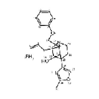 B.C=CCC1(COc2ccccc2)C(O)C2(c3noc(C)n3)CCN1CC2